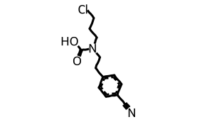 N#Cc1ccc(CCN(CCCCl)C(=O)O)cc1